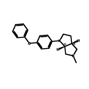 CN1C[C@H]2CCN(c3ccc(Oc4ccccc4)cc3)[C@H]2C1